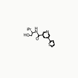 CC(C)C(CO)NC(=O)c1cncc(-c2cccs2)c1